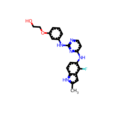 Cc1cc2c(F)c(Nc3ccnc(Nc4cccc(OCCO)c4)n3)ccc2[nH]1